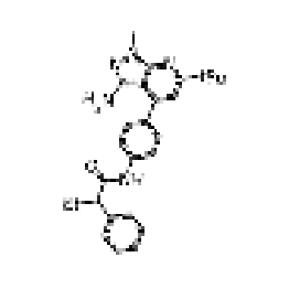 CCC(C(=O)Nc1ccc(-c2cc(C(C)(C)C)nc3c2c(N)nn3C)cc1)c1ccccc1